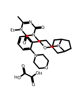 CCn1c(C)nc(=O)n(CCCN2C3CCC2CC(OCc2ccccc2N2CCOCC2)C3)c1=O.O=C(O)C(=O)O